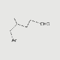 CC(=O)CC(C)CCC=O